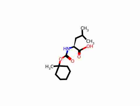 CC(C)C[C@H](NC(=O)OC1(C)CCCCC1)C(=O)O